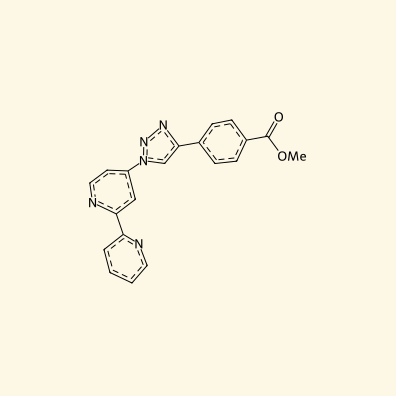 COC(=O)c1ccc(-c2cn(-c3ccnc(-c4ccccn4)c3)nn2)cc1